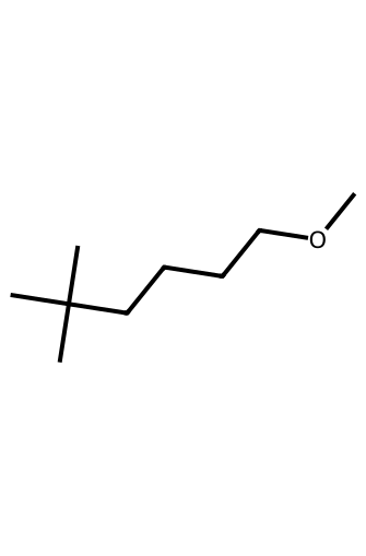 COCCCCC(C)(C)C